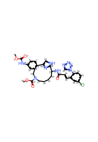 COC(=O)Nc1ccc2c(c1)CN(C(=O)OC)CCCCC(NC(=O)/C=C/c1cc(Cl)ccc1-n1cnnn1)c1nc-2c[nH]1